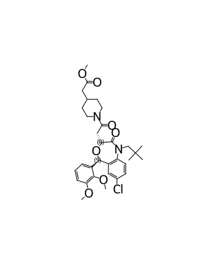 COC(=O)CC1CCN(C(=O)C[C@H]2O[C@H](c3cccc(OC)c3OC)c3cc(Cl)ccc3N(CC(C)(C)C)C2=O)CC1